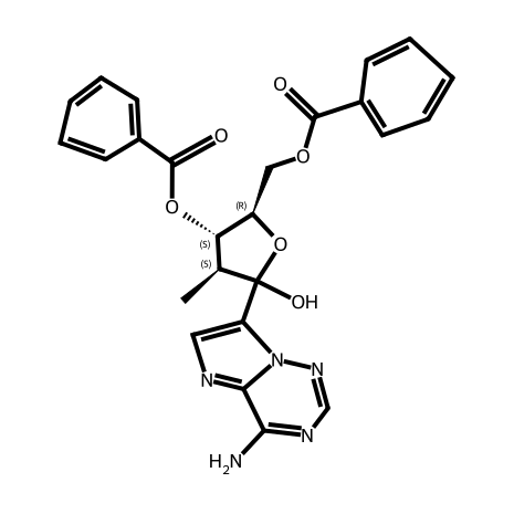 C[C@H]1[C@H](OC(=O)c2ccccc2)[C@@H](COC(=O)c2ccccc2)OC1(O)c1cnc2c(N)ncnn12